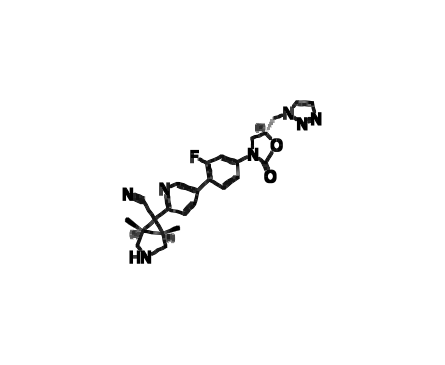 C[C@@]12CNC[C@]1(C)C2(C#N)c1ccc(-c2ccc(N3C[C@H](Cn4ccnn4)OC3=O)cc2F)cn1